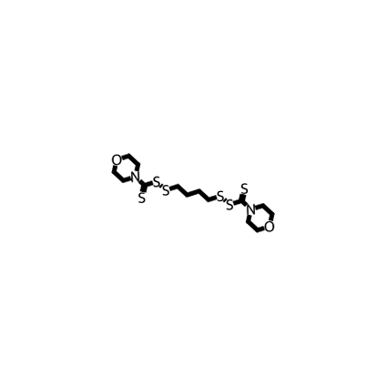 S=C(SSCCCCSSC(=S)N1CCOCC1)N1CCOCC1